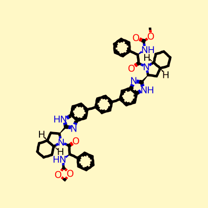 COC(=O)N[C@@H](C(=O)N1[C@H](c2nc3cc(-c4ccc(-c5ccc6[nH]c([C@@H]7C[C@@H]8CCCC[C@@H]8N7C(=O)[C@H](NC7OCO7)c7ccccc7)nc6c5)cc4)ccc3[nH]2)C[C@@H]2CCCC[C@@H]21)c1ccccc1